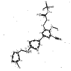 COc1c(C#N)cc(-c2ccc(NCc3cccc(C)c3)nc2)cc1CCC(=O)OC(C)(C)C